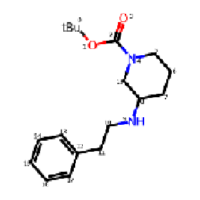 CC(C)(C)OC(=O)N1CCCC(NCCc2ccccc2)C1